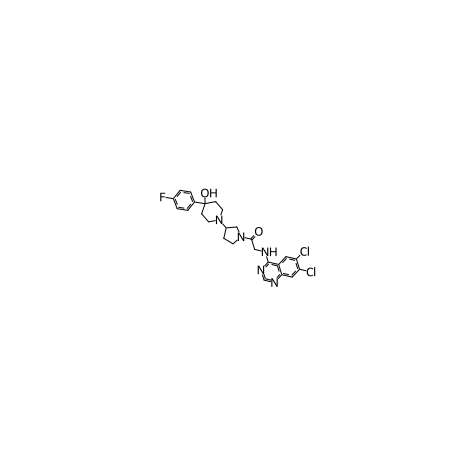 O=C(CNc1ncnc2cc(Cl)c(Cl)cc12)N1CCC(N2CCC(O)(c3ccc(F)cc3)CC2)C1